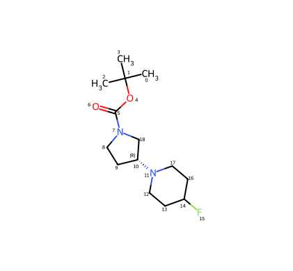 CC(C)(C)OC(=O)N1CC[C@@H](N2CCC(F)CC2)C1